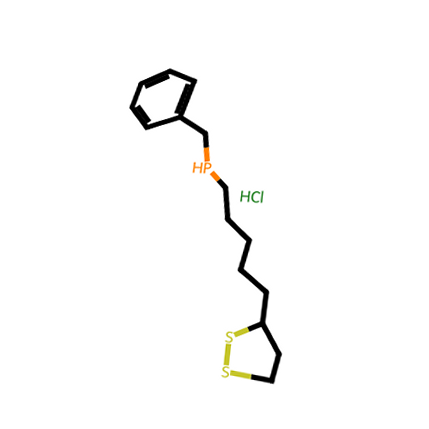 Cl.c1ccc(CPCCCCCC2CCSS2)cc1